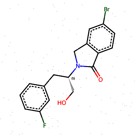 O=C1c2ccc(Br)cc2CN1[C@H](CO)Cc1cccc(F)c1